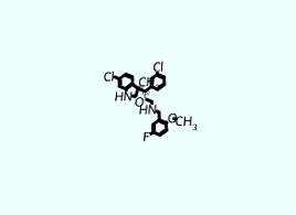 COc1ccc(F)cc1CNCC[C@@H](C1C=CC=C(Cl)C1)[C@@]1(C)C(=O)Nc2cc(Cl)ccc21